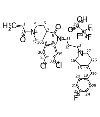 C=CC(=O)N1CCC(C(=O)N(CCCN2CCC(Cc3ccc(F)cc3)CC2)c2ccc(Cl)c(Cl)c2)CC1.O=C(O)C(F)(F)F